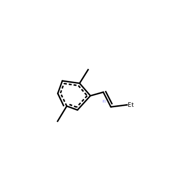 CC/C=C/c1cc(C)ccc1C